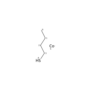 CCCCS.[Co]